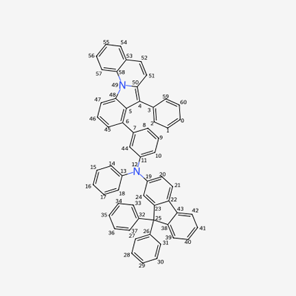 c1ccc(-c2c3c(-c4cccc(N(c5ccccc5)c5ccc6c(c5)C(c5ccccc5)(c5ccccc5)c5ccccc5-6)c4)cccc3n3c2ccc2ccccc23)cc1